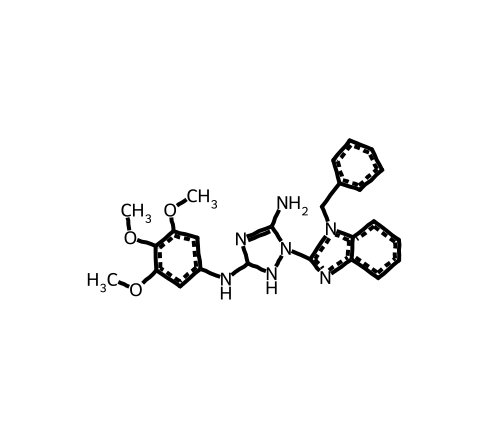 COc1cc(NC2N=C(N)N(c3nc4ccccc4n3Cc3ccccc3)N2)cc(OC)c1OC